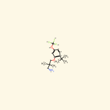 CC(C)(CN)COc1cc(OC(F)(F)F)ccc1C(C)(C)C